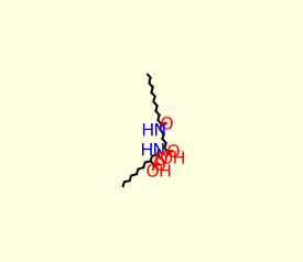 CCCCCCCCCCCC(=O)NCCCC(NC(=O)CC(CCCCCCCC)C(=O)O)C(=O)O